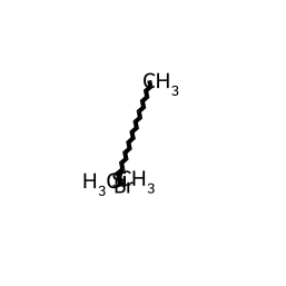 CCCCCCCCCCCCCCCCCCC[Si](C)(C)Br